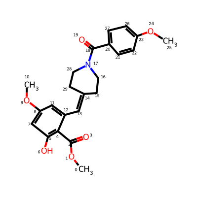 COC(=O)c1c(O)cc(OC)cc1C=C1CCN(C(=O)c2ccc(OC)cc2)CC1